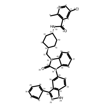 Cc1ncc(Cl)cc1C(=O)N[C@H]1CC[C@H](Cn2c(=O)n(-c3ccc4[nH]nc(-c5ccccc5)c4c3)c3ccccc32)CC1